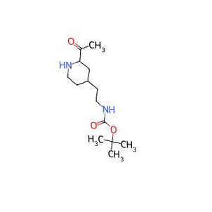 CC(=O)C1CC(CCNC(=O)OC(C)(C)C)CCN1